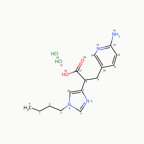 CCCCn1cnc(C(Cc2ccc(N)nc2)C(=O)O)c1.Cl.Cl